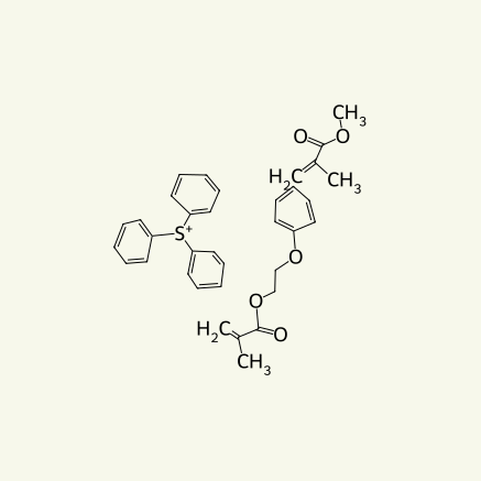 C=C(C)C(=O)OC.C=C(C)C(=O)OCCOc1ccccc1.c1ccc([S+](c2ccccc2)c2ccccc2)cc1